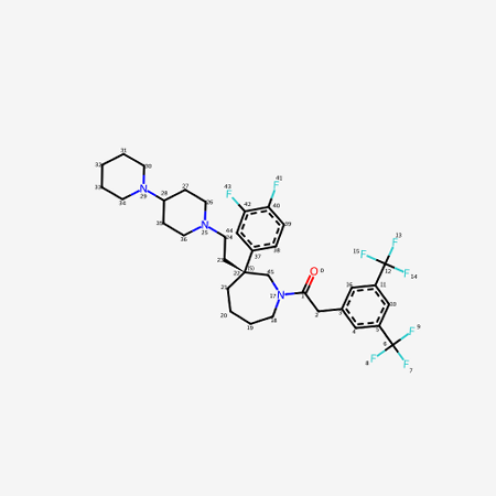 O=C(Cc1cc(C(F)(F)F)cc(C(F)(F)F)c1)N1CCCC[C@](CCN2CCC(N3CCCCC3)CC2)(c2ccc(F)c(F)c2)C1